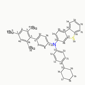 CC(C)(C)c1cc(C(C)(C)C)c(-c2ccc(N(c3ccc(C4CCCCC4)cc3)c3ccc4c(c3)sc3ccccc34)cc2)c(C(C)(C)C)c1